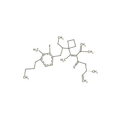 C=C[C@@H](C)CC(=S)/C(C(=C)C)=C(\C)C1(C(CC)Cc2ccc(CCCC)c(C)c2F)CCC1